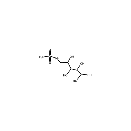 NS(=O)(=O)NCC(O)C(O)C(O)C(O)O